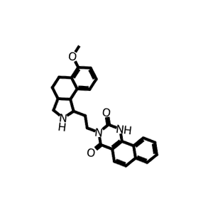 COc1cccc2c1CCC1CNC(CCn3c(=O)[nH]c4c(ccc5ccccc54)c3=O)C21